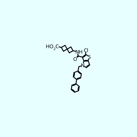 O=C(NC1CC2(C1)CC(C(=O)O)C2)c1c(Cl)sc2ccn(Cc3ccc(-c4ccccc4)cc3)c12